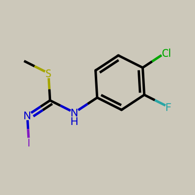 CS/C(=N/I)Nc1ccc(Cl)c(F)c1